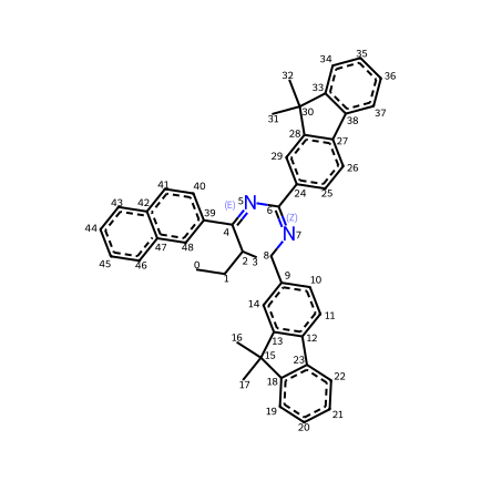 CCC(C)/C(=N\C(=N/Cc1ccc2c(c1)C(C)(C)c1ccccc1-2)c1ccc2c(c1)C(C)(C)c1ccccc1-2)c1ccc2ccccc2c1